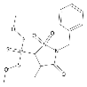 COSP(=S)(SOC)C1C(C)C(=O)N(Cc2ccccc2)S1(=O)=O